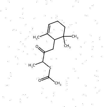 CC(=O)SC(C)C(=O)CC1C(C)=CCCC1(C)C